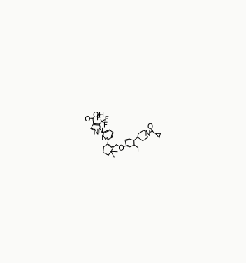 CCc1cc(OCC2=C(c3cccc(-n4ncc(C(=O)O)c4C(F)(F)F)n3)CCCC2(C)C)ccc1C1CCN(C(=O)C2CC2)CC1